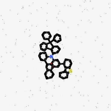 c1ccc(C2(c3ccccc3)c3ccccc3-c3c(N(c4cccc(-c5cccc6sc7ccccc7c56)c4)c4ccccc4-c4ccc5ccccc5c4)cccc32)cc1